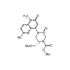 CC[C@H]1CN(C(=O)OC(C)(C)C)[C@H](COC)CN1c1cc(=O)n(C)c2ccc(C#N)nc12